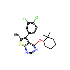 CC(C)(C)c1sc2ncnc(OC3CCCCC3(C)C)c2c1-c1ccc(Cl)c(Cl)c1